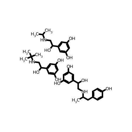 CC(C)(C)NCC(O)c1cc(O)cc(O)c1.CC(C)NCC(O)c1cc(O)cc(O)c1.CC(Cc1ccc(O)cc1)NCC(O)c1cc(O)cc(O)c1